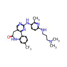 Cc1nc(NCCCN(C)C)ccc1Nc1ncc2c(n1)-c1ccc(C(F)(F)F)cc1NC(=O)C2